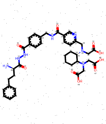 N[C@H](CCc1ccccc1)C(=O)NNC(=O)c1ccc(CNC(=O)c2ccc(CN(CC(=O)O)[C@H]3CCCCC3N(CC(=O)O)CC(=O)O)nc2)cc1